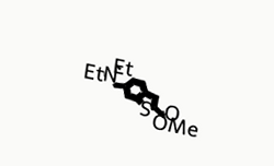 CCN(CC)Cc1ccc2cc(C(=O)OC)sc2c1